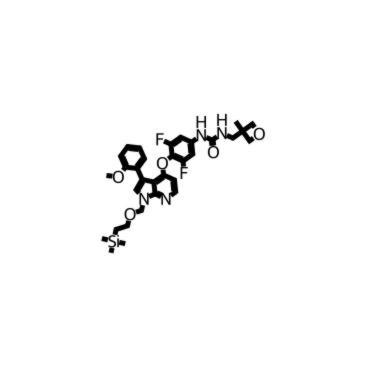 COc1ccccc1-c1cn(COCC[Si](C)(C)C)c2nccc(Oc3c(F)cc(NC(=O)NCC4(C)COC4)cc3F)c12